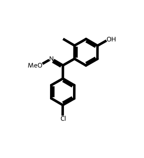 CO/N=C(\c1ccc(Cl)cc1)c1ccc(O)cc1C